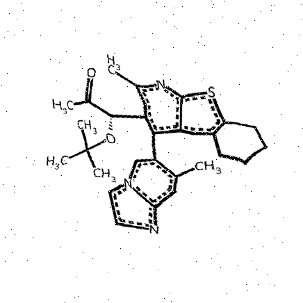 CC(=O)[C@@H](OC(C)(C)C)c1c(C)nc2sc3c(c2c1-c1cn2ccnc2cc1C)CCCC3